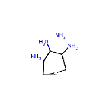 N.N.NC1CCCCC1N